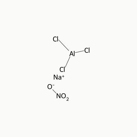 O=[N+]([O-])[O-].[Cl][Al]([Cl])[Cl].[Na+]